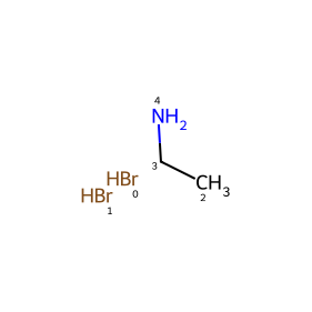 Br.Br.CCN